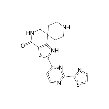 O=C1NCC2(CCNCC2)c2[nH]c(-c3ccnc(-c4nccs4)n3)cc21